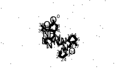 COc1ccc(-c2nn(Cc3nc4cccc(C)c4c(=O)n3-n3cccc3)c3ncnc(N)c23)c2c1OC(C)(C)C2